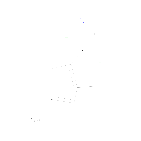 COc1ccc(C(F)(F)C(N)=O)c(C(F)(F)F)c1